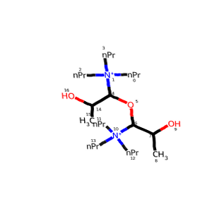 CCC[N+](CCC)(CCC)C(OC(C(C)O)[N+](CCC)(CCC)CCC)C(C)O